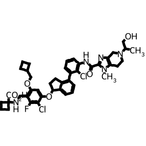 CC(CO)N1CCc2c(nc(C(=O)Nc3cccc(-c4cccc5c4CCC5Oc4cc(OCC5CCC5)c(CNC5(C(=O)O)CCC5)c(F)c4Cl)c3Cl)n2C)C1